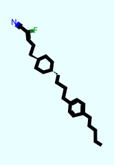 CCCCCc1ccc(CCCC[C@H]2CC[C@H](CC/C=C(\F)C#N)CC2)cc1